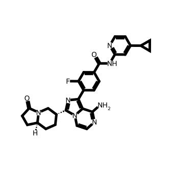 Nc1nccn2c([C@@H]3CC[C@H]4CCC(=O)N4C3)nc(-c3ccc(C(=O)Nc4cc(C5CC5)ccn4)cc3F)c12